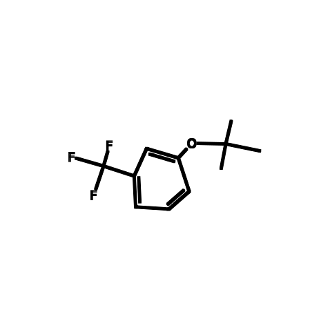 CC(C)(C)Oc1cccc(C(F)(F)F)c1